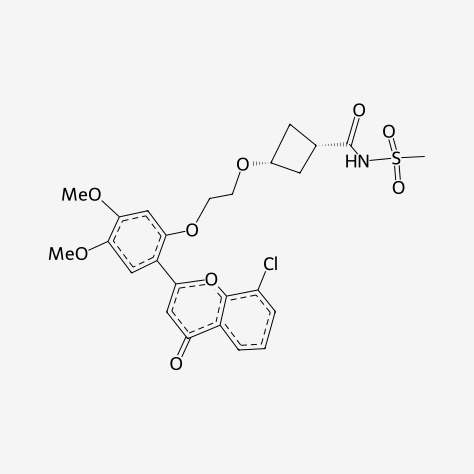 COc1cc(OCCO[C@H]2C[C@@H](C(=O)NS(C)(=O)=O)C2)c(-c2cc(=O)c3cccc(Cl)c3o2)cc1OC